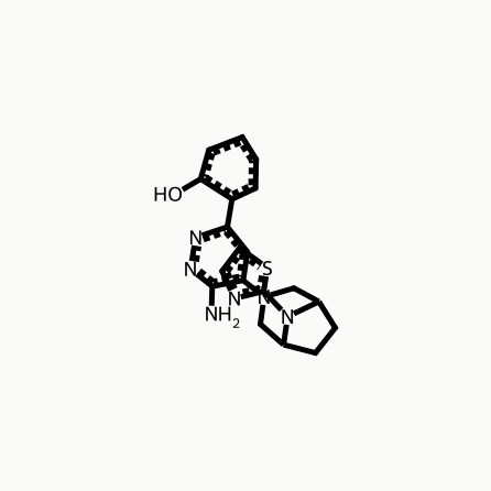 Nc1nnc(-c2ccccc2O)cc1N1CC2CCC(C1)N2c1nccs1